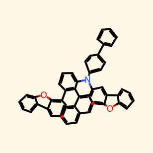 c1ccc(-c2ccc(N(c3ccc4oc5ccccc5c4c3)c3cccc(-c4cccc5c4oc4ccccc45)c3-c3cccc4ccccc34)cc2)cc1